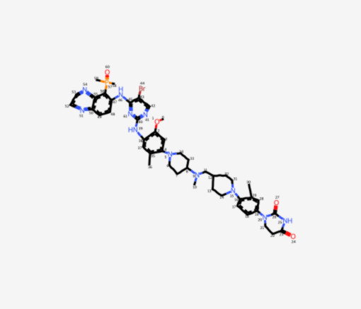 COc1cc(N2CCC(N(C)CC3CCN(c4ccc(N5CCC(=O)NC5=O)cc4C)CC3)CC2)c(C)cc1Nc1ncc(Br)c(Nc2ccc3nccnc3c2P(C)(C)=O)n1